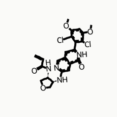 C=CC(=O)N[C@H]1COC[C@H]1Nc1cc2c(=O)[nH]c(-c3c(Cl)c(OC)cc(OC)c3Cl)cc2cn1